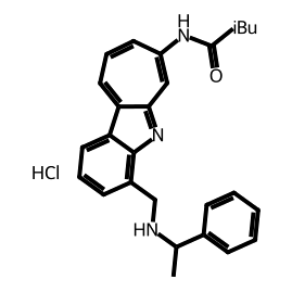 CCC(C)C(=O)Nc1cccc2c3cccc(CNC(C)c4ccccc4)c3nc-2c1.Cl